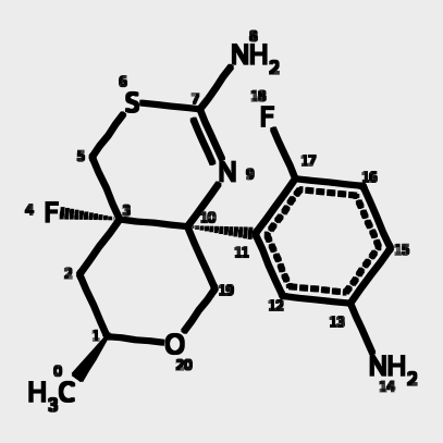 C[C@H]1C[C@@]2(F)CSC(N)=N[C@@]2(c2cc(N)ccc2F)CO1